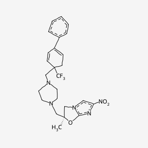 C[C@]1(CN2CCN(CC3(C(F)(F)F)C=CC(c4ccccc4)=CC3)CC2)Cn2cc([N+](=O)[O-])nc2O1